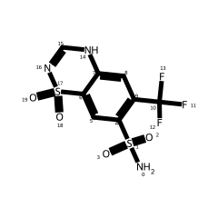 NS(=O)(=O)c1cc2c(cc1C(F)(F)F)NC=NS2(=O)=O